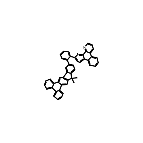 CC1(C)c2ccc(-c3ccccc3-c3ccc4c5ccccc5c5cccnc5c4n3)cc2-c2cc3c4ccccc4c4ccccc4c3cc21